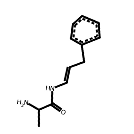 CC(N)C(=O)N/C=C/Cc1ccccc1